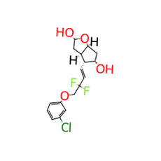 OC1C[C@@H]2[C@@H](/C=C/C(F)(F)COc3cccc(Cl)c3)[C@H](O)C[C@@H]2O1